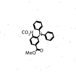 COC(=O)c1ccc(C(=O)O)c(N(c2ccccc2)c2ccccc2)c1